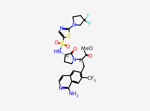 COC(=O)[C@@H](Cc1cc2ccnc(N)c2cc1C(F)(F)F)N1CC[C@H](NS(=O)(=O)c2cnc(N3CCC(F)(F)C3)s2)C1=O